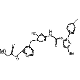 COCC(=O)Nc1cc(Oc2ccc(NC(=O)Nc3cc(C(C)(C)C)nn3-c3ccc(C)cc3)cc2C#N)ccn1